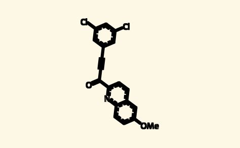 COc1ccc2nc(C(=O)C#Cc3cc(Cl)cc(Cl)c3)ccc2c1